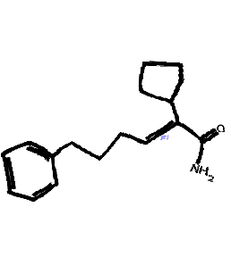 NC(=O)/C(=C/CCCc1ccccc1)C1CCCC1